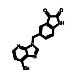 CCC(C)c1ccnc2c1ncn2Cc1ccc2c(c1)C(=O)C(=O)N2